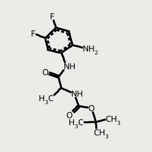 CC(NC(=O)OC(C)(C)C)C(=O)Nc1cc(F)c(F)cc1N